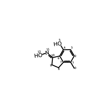 Cc1ccc(O)c2c1CCC2=NO